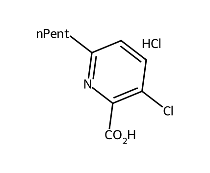 CCCCCc1ccc(Cl)c(C(=O)O)n1.Cl